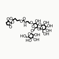 O=C(CCCOC(=O)NCCO[C@@H]1O[C@H](CO[C@H]2O[C@H](CO)[C@@H](O)[C@H](O)[C@@H]2O)[C@@H](O)[C@H](O[C@H]2O[C@H](CO)[C@@H](O)[C@H](O)[C@@H]2O)[C@@H]1O)ON1C(=O)CCC1=O